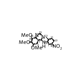 COc1cc2c(Nc3cc([N+](=O)[O-])ccc3C)ncnc2c(OC)c1OC